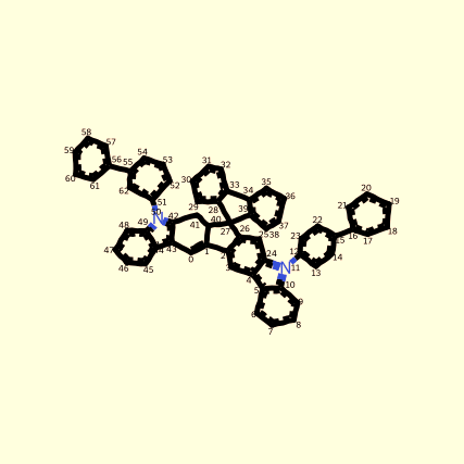 C1=C2c3cc4c5ccccc5n(-c5ccc(-c6ccccc6)cc5)c4cc3C3(c4ccccc4-c4ccccc43)C2Cc2c1c1ccccc1n2-c1cccc(-c2ccccc2)c1